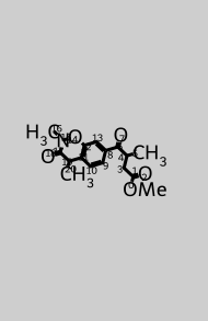 COC(=O)CC(C)C(=O)c1ccc2c(c1)ON(C)C(=O)C2C